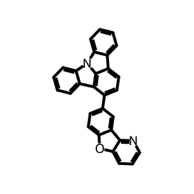 c1cnc2c(c1)oc1ccc(-c3ccc4c5ccccc5n5c6ccccc6c3c45)cc12